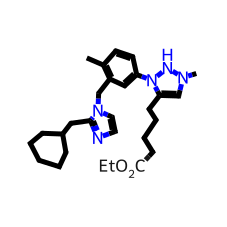 CCOC(=O)CCCCC1=CN(C)NN1c1ccc(C)c(Cn2ccnc2CC2CCCCC2)c1